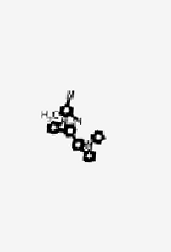 Cc1cc(C#N)cc(C#N)c1-n1c2ccccc2c2cc(-c3ccc4c5ccccc5n(-c5ccccc5)c4c3)ccc21